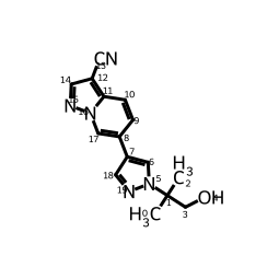 CC(C)(CO)n1cc(-c2ccc3c(C#N)cnn3c2)cn1